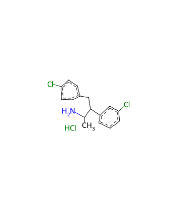 CC(N)C(Cc1ccc(Cl)cc1)c1cccc(Cl)c1.Cl